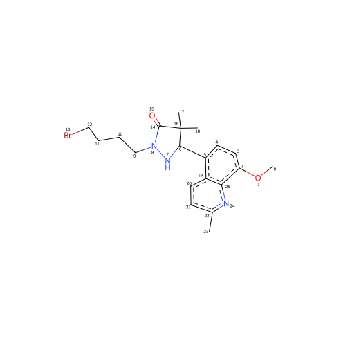 COc1ccc(C2NN(CCCCBr)C(=O)C2(C)C)c2ccc(C)nc12